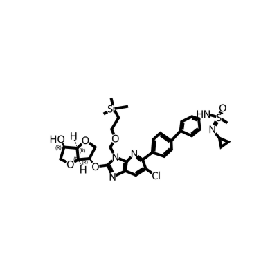 C[Si](C)(C)CCOCn1c(O[C@@H]2CO[C@H]3[C@@H]2OC[C@H]3O)nc2cc(Cl)c(-c3ccc(-c4ccc(NS(C)(=O)=NC5CC5)cc4)cc3)nc21